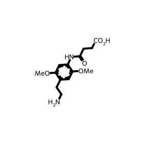 COc1cc(NC(=O)CCC(=O)O)c(OC)cc1CCN